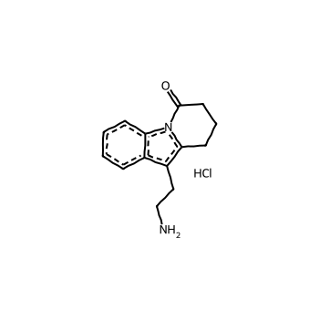 Cl.NCCc1c2n(c3ccccc13)C(=O)CCC2